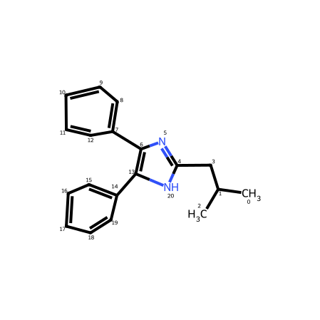 CC(C)Cc1nc(-c2ccccc2)c(-c2ccccc2)[nH]1